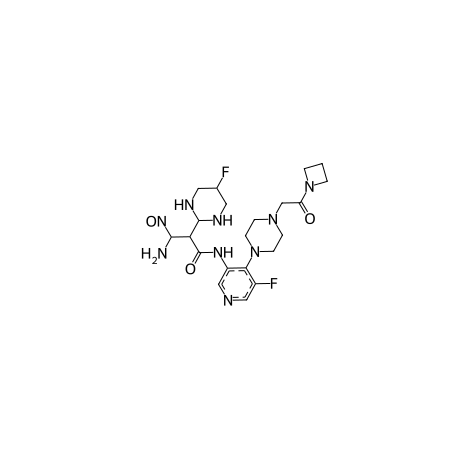 NC(N=O)C(C(=O)Nc1cncc(F)c1N1CCN(CC(=O)N2CCC2)CC1)C1NCC(F)CN1